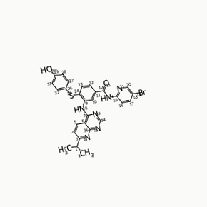 CC(C)c1ccc2c(Nc3cc(C(=O)Nc4ccc(Br)cn4)ccc3Sc3ccc(O)cc3)ncnc2n1